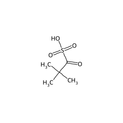 CC(C)(C)C(=O)S(=O)(=O)O